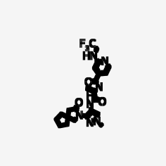 Cn1cc(NC(=O)c2coc(-c3ccnc(NCC(F)(F)F)c3)n2)c(N2CC3(CCCC3)CC2=O)n1